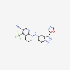 N#Cc1cnc2c(c1C(F)(F)F)CCC[C@@H]2Nc1ccc2[nH]nc(-c3cnco3)c2c1